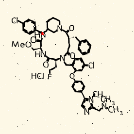 COC[C@@H]1NC(=O)[C@H](CCF)N(Cc2ccc(Cl)cc2Oc2ccc(-c3cnc(CN(C)C)n3C)cc2)C(=O)C[C@@H](Cc2ccccc2)C(=O)N2CCC[C@@](Cc3ccc(Cl)cc3)(C2)NC1=O.Cl